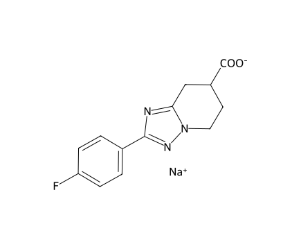 O=C([O-])C1CCn2nc(-c3ccc(F)cc3)nc2C1.[Na+]